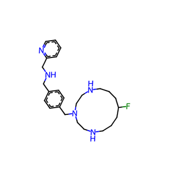 FC1CCCNCCN(Cc2ccc(CNCc3ccccn3)cc2)CCNCCC1